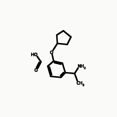 CC(N)c1cccc(OC2CCCC2)c1.O=CO